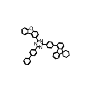 c1ccc(-c2ccc(-c3nc(-c4ccc(-c5cccc6c5-c5ccccc5C65CCCCC5)cc4)nc(-c4ccc5oc6ccccc6c5c4)n3)cc2)cc1